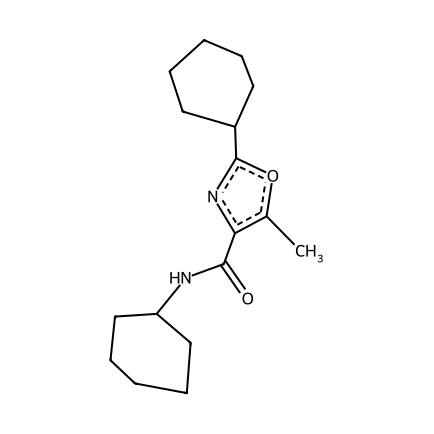 Cc1oc(C2CCCCC2)nc1C(=O)NC1CCCCC1